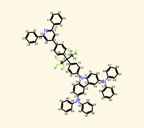 FC(F)(F)C(c1ccc(-c2cc(-c3ccccc3)nc(-c3ccccc3)c2)cc1)(c1ccc(-n2c3ccc(N(c4ccccc4)c4ccccc4)cc3c3cc(N(c4ccccc4)c4ccccc4)ccc32)cc1)C(F)(F)F